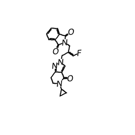 O=C1c2ccccc2C(=O)N1C/C(=C\F)Cn1cc2c(n1)CCN(C1CC1)C2=O